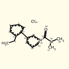 CCc1ccccc1-c1ccc[n+](C(=O)N(C)C)c1.[Cl-]